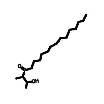 CCCCCCCCCCCCCC[P](=O)C(C)C(C)O